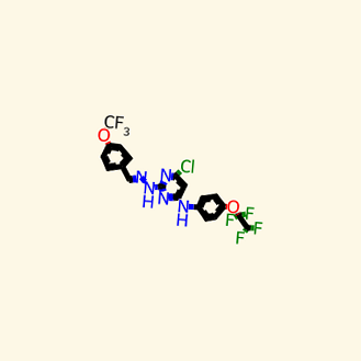 FC(F)C(F)(F)Oc1ccc(Nc2cc(Cl)nc(N/N=C/c3ccc(OC(F)(F)F)cc3)n2)cc1